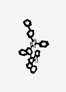 C1=Cc2ccc3cc(-c4cc(-c5nc(-c6ccccc6)nc(-c6ccc(-c7ccccc7)cc6)n5)cc5ccccc45)c4c5ccccc5oc4c3c2CC1